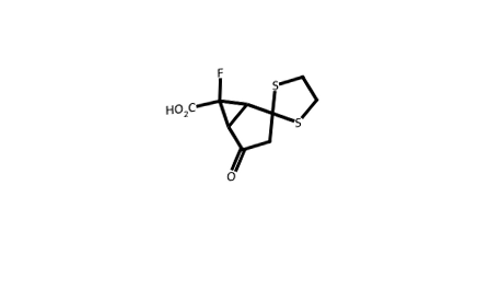 O=C1CC2(SCCS2)C2C1C2(F)C(=O)O